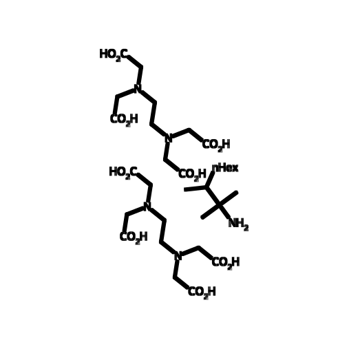 CCCCCCC(C)C(C)(C)N.O=C(O)CN(CCN(CC(=O)O)CC(=O)O)CC(=O)O.O=C(O)CN(CCN(CC(=O)O)CC(=O)O)CC(=O)O